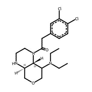 CCN(CC)C1COC[C@H]2NCCN(C(=O)Cc3ccc(Cl)c(Cl)c3)[C@H]12